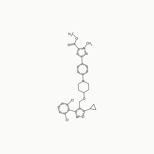 COC(=O)c1cc(-c2ccc(N3CCC(OCc4c(-c5c(Cl)cccc5Cl)noc4C4CC4)CC3)cc2)nn1C